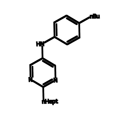 CCCCCCCc1ncc(Nc2ccc(CCCC)cc2)cn1